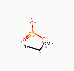 O=[PH](O)O.[Li][CH2]OC